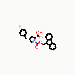 O=C(O)[C@H]1C[C@@H](Cc2ccc(F)cc2)CN1C(=O)OCC1c2ccccc2-c2ccccc21